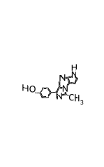 Cc1nc(-c2ccc(CO)cc2)c2cnc3[nH]ccc3n12